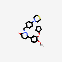 COc1ccc(C2=NN(Cc3ccc(N4CCSCC4)cc3)C(=O)CC2)cc1OC1CCCC1